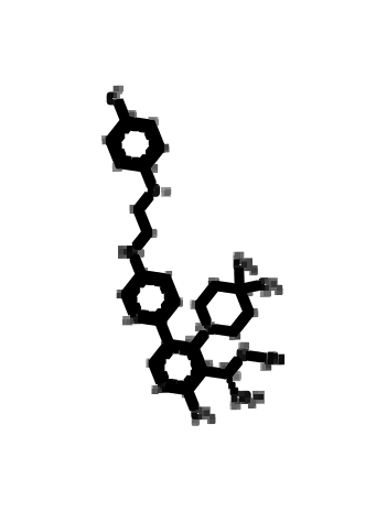 Cc1ncc(-c2ccc(NCCOc3ccc(Cl)cc3)cn2)c(N2CCC(C)(C)CC2)c1[C@H](OC(C)(C)C)C(=O)O